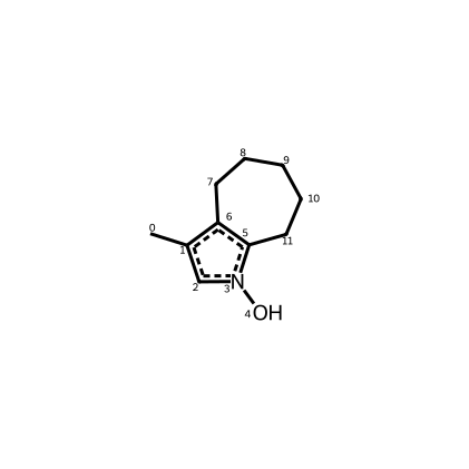 Cc1cn(O)c2c1CCCCC2